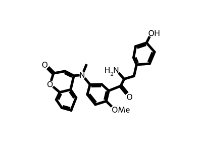 COc1ccc(N(C)c2cc(=O)oc3ccccc23)cc1C(=O)C(N)Cc1ccc(O)cc1